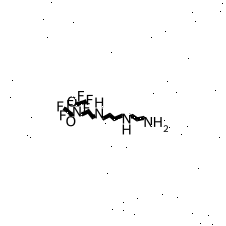 NCCCNCCCCNCCCN(C(=O)C(F)(F)F)C(=O)C(F)(F)F